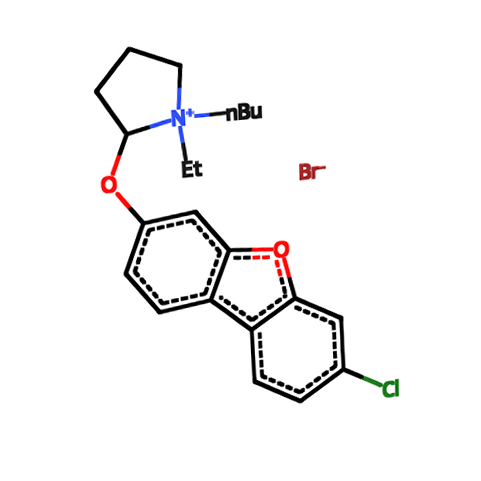 CCCC[N+]1(CC)CCCC1Oc1ccc2c(c1)oc1cc(Cl)ccc12.[Br-]